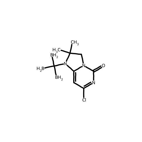 BC(B)(B)N1c2cc(Cl)nc(=O)n2CC1(C)C